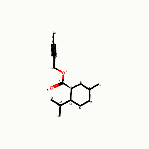 [CH2]C#CCOC(=O)[C@H]1CC(C)CCC1C(C)C